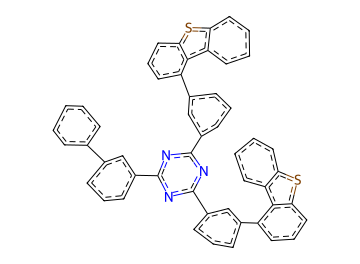 c1ccc(-c2cccc(-c3nc(-c4cccc(-c5cccc6sc7ccccc7c56)c4)nc(-c4cccc(-c5cccc6sc7ccccc7c56)c4)n3)c2)cc1